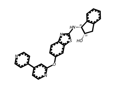 O[C@H]1Cc2ccccc2[C@H]1Nc1nc2ccc(Oc3cc(-c4ccncc4)ccn3)cc2s1